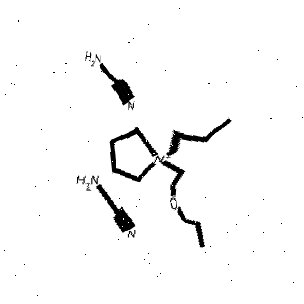 CCC[N+]1(COCC)CCCC1.N#CN.N#CN